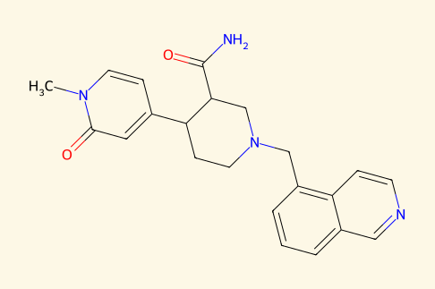 Cn1ccc(C2CCN(Cc3cccc4cnccc34)CC2C(N)=O)cc1=O